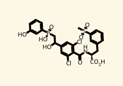 CS(=O)(=O)c1cccc(C[C@H](NC(=O)c2c(Cl)cc(C(O)CP(=O)(O)c3cccc(O)c3)cc2Cl)C(=O)O)c1